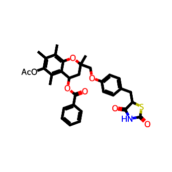 CC(=O)Oc1c(C)c(C)c2c(c1C)C(OC(=O)c1ccccc1)CC(C)(COc1ccc(CC3SC(=O)NC3=O)cc1)O2